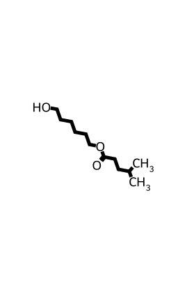 CC(C)CCC(=O)OCCCCCCO